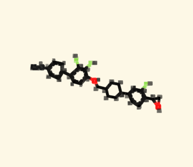 COc1ccc(-c2ccc(OCC3CCC(c4ccc(C5CO5)c(F)c4)CC3)c(F)c2F)cc1